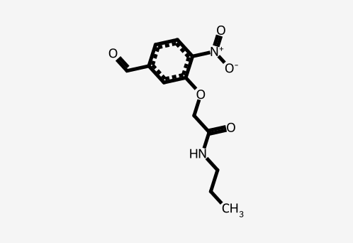 CCCNC(=O)COc1cc(C=O)ccc1[N+](=O)[O-]